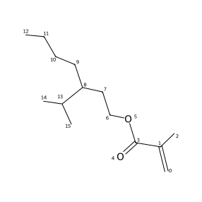 C=C(C)C(=O)OCCC(CCCC)C(C)C